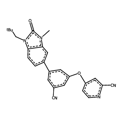 Cn1c(=O)n(CC(C)(C)C)c2ccc(-c3cc(C#N)cc(Oc4ccnc(C#N)c4)c3)cc21